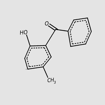 Cc1[c]cc(O)c(C(=O)c2ccccc2)c1